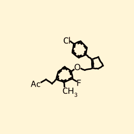 CC(=O)CCc1ccc(OCC2=C(c3ccc(Cl)cc3)CCC2)c(F)c1C